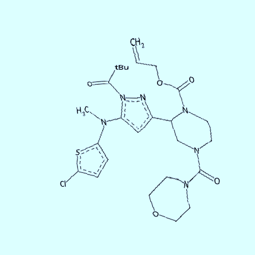 C=CCOC(=O)N1CCN(C(=O)N2CCOCC2)CC1c1cc(N(C)c2ccc(Cl)s2)n(C(=O)C(C)(C)C)n1